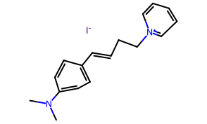 CN(C)c1ccc(C=CCC[n+]2ccccc2)cc1.[I-]